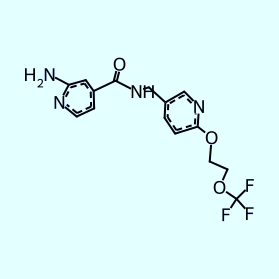 Nc1cc(C(=O)NCc2ccc(OCCOC(F)(F)F)nc2)ccn1